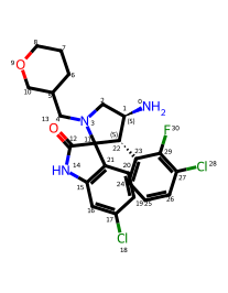 N[C@@H]1CN(CC2CCCOC2)C2(C(=O)Nc3cc(Cl)ccc32)[C@H]1c1cccc(Cl)c1F